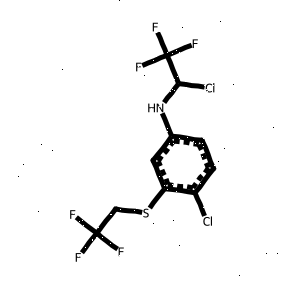 FC(F)(F)CSc1cc(NC(Cl)C(F)(F)F)ccc1Cl